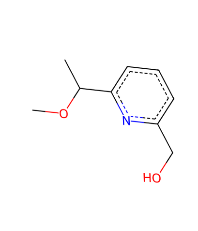 COC(C)c1cccc(CO)n1